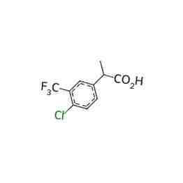 CC(C(=O)O)c1ccc(Cl)c(C(F)(F)F)c1